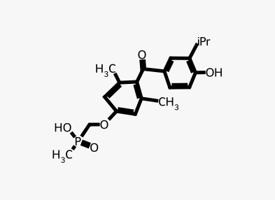 Cc1cc(OCP(C)(=O)O)cc(C)c1C(=O)c1ccc(O)c(C(C)C)c1